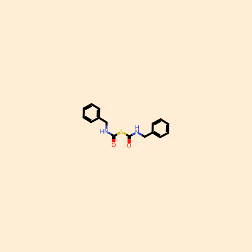 O=C(NCc1ccccc1)SC(=O)NCc1ccccc1